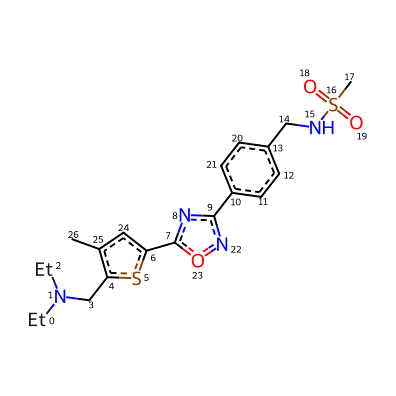 CCN(CC)Cc1sc(-c2nc(-c3ccc(CNS(C)(=O)=O)cc3)no2)cc1C